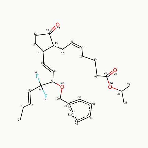 CC/C=C/C(F)(F)C(/C=C/[C@H]1CCC(=O)[C@@H]1C/C=C\CCCC(=O)OC(C)C)OCc1ccccc1